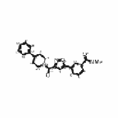 CNC(=O)c1cccc(-c2cc(C(=O)N3CCC(c4ccccc4)CC3)no2)c1